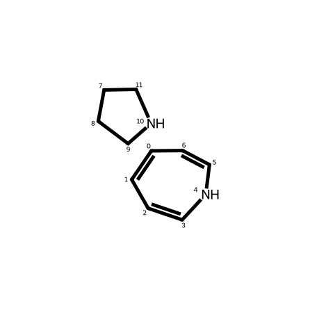 C1=CC=CNC=C1.C1CCNC1